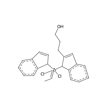 C[CH]=[Zr]([Cl])([Cl])([CH]1C=Cc2ccccc21)[CH]1C(CCCO)=Cc2ccccc21